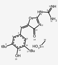 CC(C)(C)c1cc(C=C2OC(NC(=N)N)=NC2=O)cc(C(C)(C)C)c1O.CS(=O)(=O)O